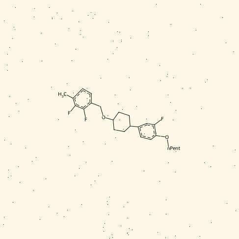 CCCCCOc1ccc(C2CCC(OCc3ccc(C)c(F)c3F)CC2)cc1F